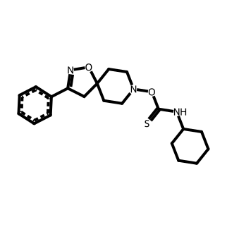 S=C(NC1CCCCC1)ON1CCC2(CC1)CC(c1ccccc1)=NO2